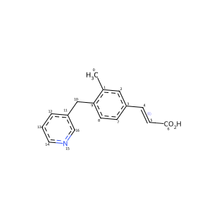 Cc1cc(/C=C/C(=O)O)ccc1Cc1cccnc1